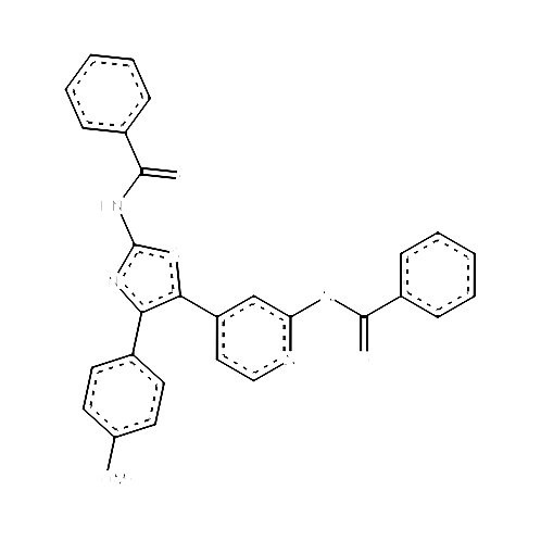 COc1ccc(-c2nc(NC(=O)c3ccccc3)sc2-c2ccnc(NC(=O)c3ccccc3)c2)cc1